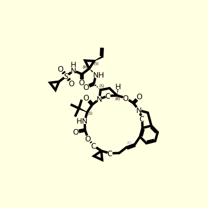 C=C[C@@H]1C[C@]1(NC(=O)[C@@H]1C[C@@H]2CN1C(=O)[C@H](C(C)(C)C)NC(=O)OCC1(CC/C=C/c3cccc4c3CN(C4)C(=O)O2)CC1)C(=O)NS(=O)(=O)C1CC1